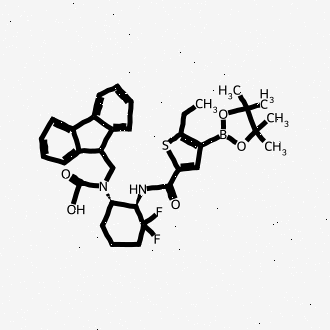 CCc1sc(C(=O)N[C@@H]2[C@@H](N(CC3c4ccccc4-c4ccccc43)C(=O)O)CCCC2(F)F)cc1B1OC(C)(C)C(C)(C)O1